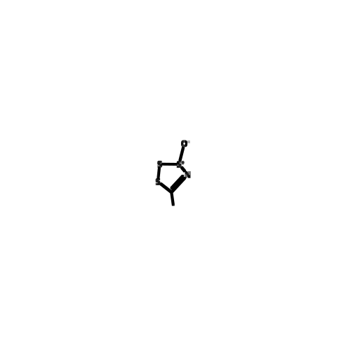 CC1=N[S+]([O-])SS1